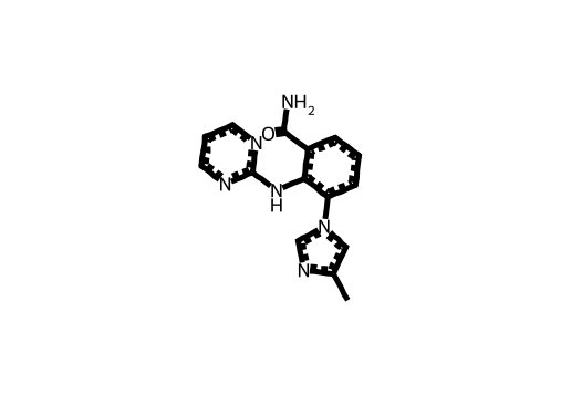 Cc1cn(-c2cccc(C(N)=O)c2Nc2ncccn2)cn1